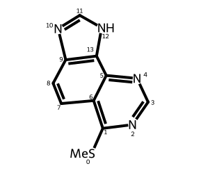 CSc1ncnc2c1ccc1nc[nH]c12